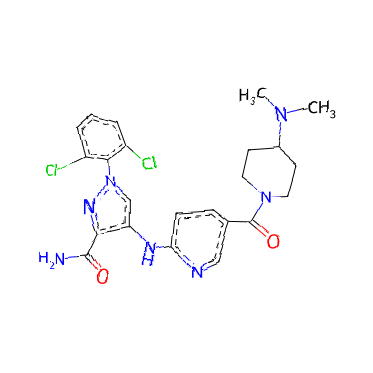 CN(C)C1CCN(C(=O)c2ccc(Nc3cn(-c4c(Cl)cccc4Cl)nc3C(N)=O)nc2)CC1